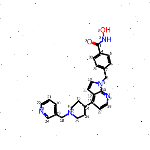 O=C(NO)c1ccc(Cn2ccc3c(C4CCN(Cc5cccnc5)CC4)ccnc32)cc1